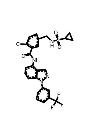 O=C(Nc1cccc2c1cnn2-c1cccc(C(F)(F)F)c1)c1cc(CNS(=O)(=O)C2CC2)ccc1Cl